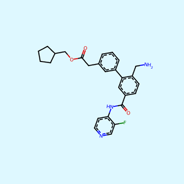 NCc1ccc(C(=O)Nc2ccncc2F)cc1-c1cccc(CC(=O)OCC2CCCC2)c1